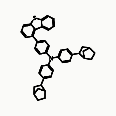 c1ccc2c(c1)sc1cccc(-c3ccc(N(c4ccc(C5CC6CCC5C6)cc4)c4ccc(C5CC6CCC5C6)cc4)cc3)c12